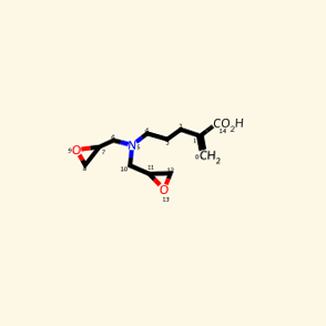 C=C(CCCN(CC1CO1)CC1CO1)C(=O)O